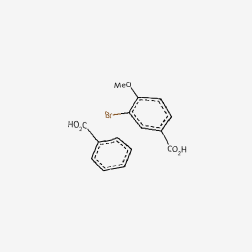 COc1ccc(C(=O)O)cc1Br.O=C(O)c1ccccc1